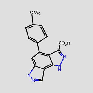 COc1ccc(-c2cc3c(c4[nH]nc(C(=O)O)c24)C=N[N]3)cc1